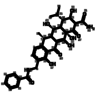 C[C@H]1c2ccc(CNC(=O)c3ccccc3)c(O)c2C(=O)C2=C(O)[C@]3(O)C(=O)C(C(N)=O)C(O)[C@@H](N(C)C)C3[C@@H](O)C21